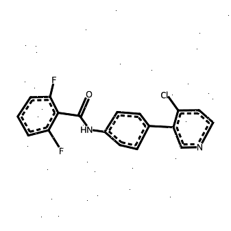 O=C(Nc1ccc(-c2cnccc2Cl)cc1)c1c(F)cccc1F